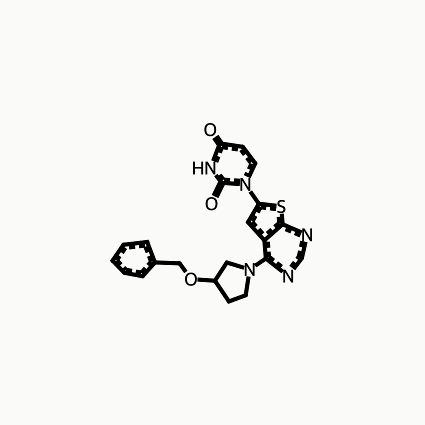 O=c1ccn(-c2cc3c(N4CCC(OCc5ccccc5)C4)ncnc3s2)c(=O)[nH]1